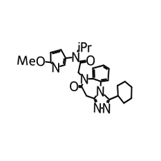 COc1ccc(N(C(=O)CN2C(=O)Cc3nnc(C4CCCCC4)n3-c3ccccc32)C(C)C)cn1